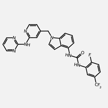 O=C(Nc1cc(C(F)(F)F)ccc1F)Nc1cccc2c1ccn2Cc1ccnc(Nc2ncccn2)c1